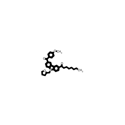 CCCCCCCC(=O)c1ccc2c(c1)c1cc(C(=O)c3ccc(OC)cc3)ccc1n2CC1CCCO1